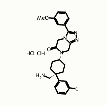 COc1cccc(-c2nnc3n2CC(=O)N([C@H]2CC[C@](CN)(c4cccc(Cl)c4)CC2)C3)c1.Cl.Cl